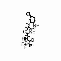 CN1C(=O)[C@H](NC(=O)C(C)(C)NC(=O)C2(C(F)(F)F)CC2)CNc2ccc(Cl)cc21